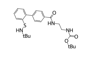 CC(C)(C)NSc1ccccc1-c1ccc(C(=O)NCCNC(=O)OC(C)(C)C)cc1